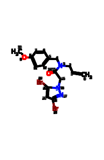 C=CCN(Cc1ccc(OC)cc1)C(=O)Cn1nc(Br)cc1Br